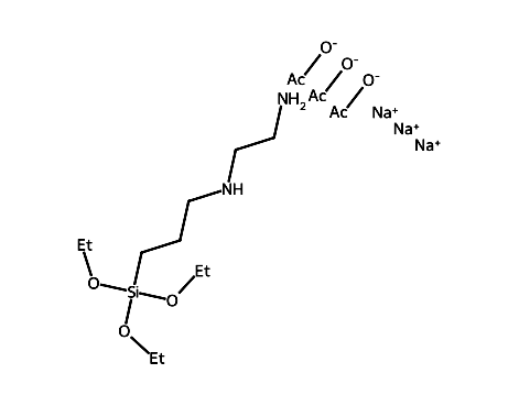 CC(=O)[O-].CC(=O)[O-].CC(=O)[O-].CCO[Si](CCCNCCN)(OCC)OCC.[Na+].[Na+].[Na+]